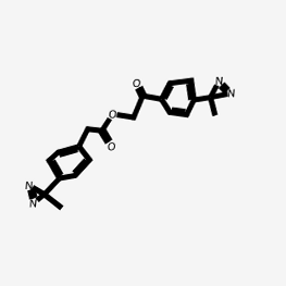 CC1(c2ccc(CC(=O)OCC(=O)c3ccc(C4(C)N=N4)cc3)cc2)N=N1